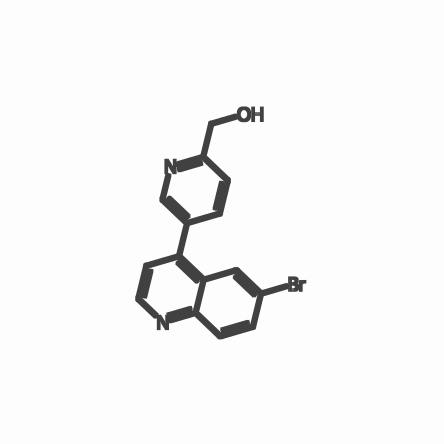 OCc1ccc(-c2ccnc3ccc(Br)cc23)cn1